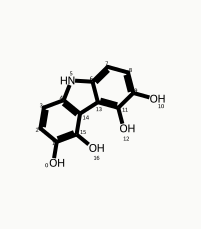 Oc1ccc2[nH]c3ccc(O)c(O)c3c2c1O